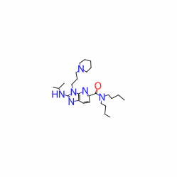 CCCCN(CCCC)C(=O)c1ccc2nc(NC(C)C)n(CCCN3CCCCC3)c2n1